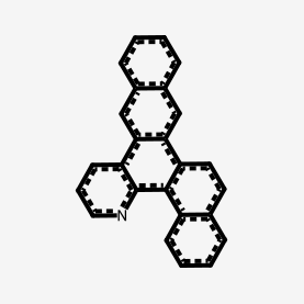 c1ccc2cc3c(cc2c1)c1cccnc1c1c2ccccc2ccc31